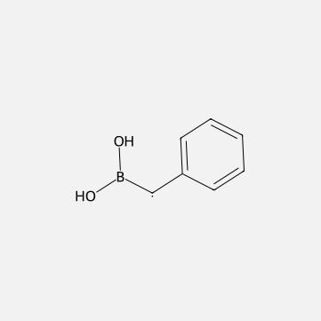 OB(O)[CH]c1ccccc1